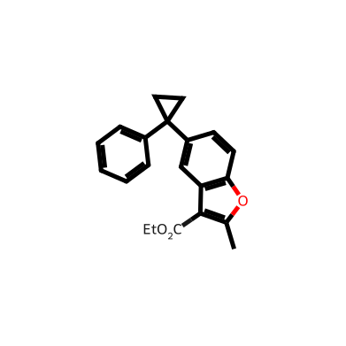 CCOC(=O)c1c(C)oc2ccc(C3(c4ccccc4)CC3)cc12